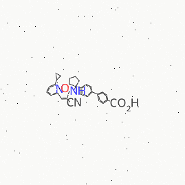 N#CC(=Cc1cccc(C2CC2)n1)C(=O)NC1(c2ccc(-c3ccc(C(=O)O)cc3)cc2)CCCC1